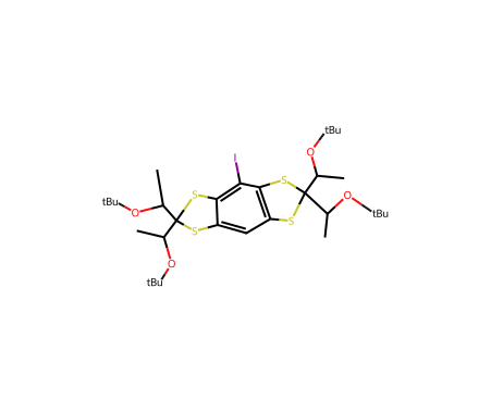 CC(OC(C)(C)C)C1(C(C)OC(C)(C)C)Sc2cc3c(c(I)c2S1)SC(C(C)OC(C)(C)C)(C(C)OC(C)(C)C)S3